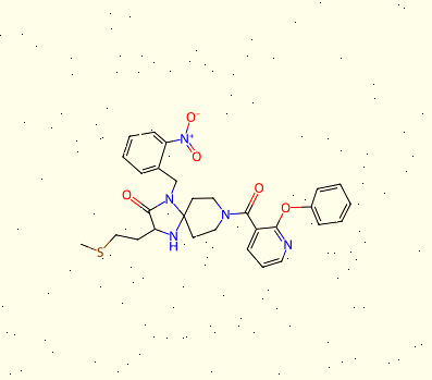 CSCCC1NC2(CCN(C(=O)c3cccnc3Oc3ccccc3)CC2)N(Cc2ccccc2[N+](=O)[O-])C1=O